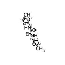 Cc1ccc(CNC(=O)C(=O)NCc2ccc(C)o2)o1